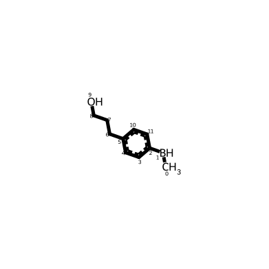 CBc1ccc(CCCO)cc1